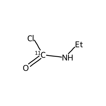 CCN[11C](=O)Cl